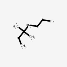 CCC(C)(C)NCCF